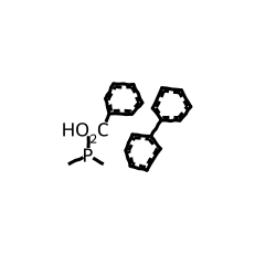 CP(C)C.O=C(O)c1ccccc1.c1ccc(-c2ccccc2)cc1